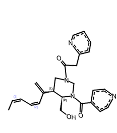 C=C(/C=C\C=C/C)[C@H]1CN(C(=O)Cc2ccccn2)CN(C(=O)c2ccncc2)[C@H]1CO